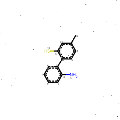 Cc1ccc(-c2ccccc2N)c(S)c1